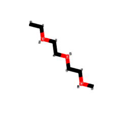 CCOCCOCCOC